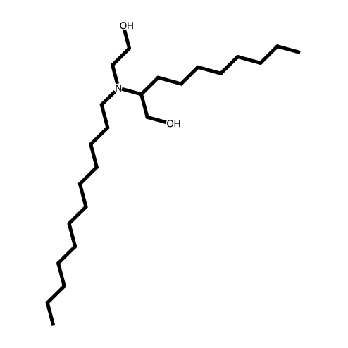 CCCCCCCCCCCCN(CCO)C(CO)CCCCCCCC